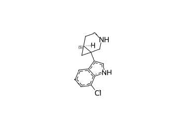 Clc1cccc2c(C34CNCC[C@@H]3C4)c[nH]c12